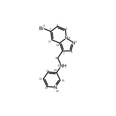 Brc1ccn2ncc(CNc3cccnc3)c2c1